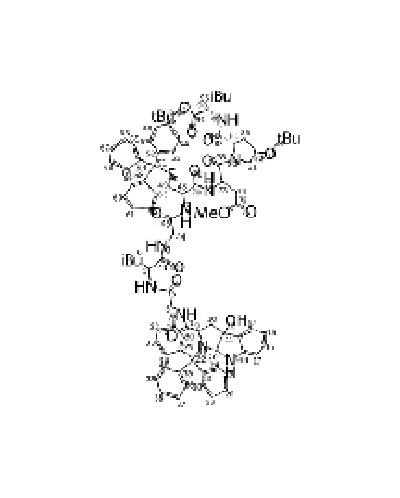 CC[C@H](C)C(NC(=O)CNC(=O)C1CC2(O)c3ccccc3NC2N1C(c1ccccc1)(c1ccccc1)c1ccccc1)C(=O)NCC(=O)NC(CSC(c1ccccc1)(c1ccccc1)c1ccccc1)C(=O)NC(CC(=O)OC)C(=O)N1C[C@H](OC(C)(C)C)C[C@H]1C(=O)N[C@H](C(=O)OC(C)(C)C)[C@@H](C)CC